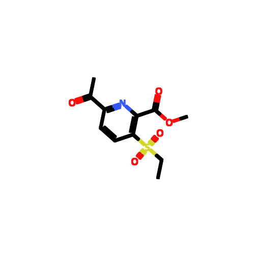 CCS(=O)(=O)c1ccc(C(C)=O)nc1C(=O)OC